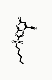 CCCCCCS(=O)(=O)c1nn2c(C#N)cc(=O)nc2s1